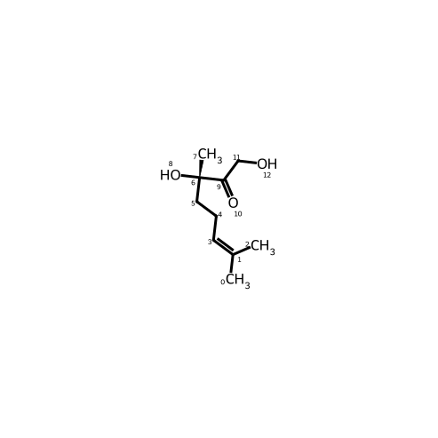 CC(C)=CCC[C@](C)(O)C(=O)CO